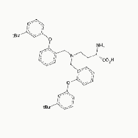 CC(C)(C)c1cccc(Oc2ccccc2CN(CC[C@H](N)C(=O)O)Cc2ccccc2Oc2cccc(C(C)(C)C)c2)c1